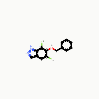 Fc1cc2cn[nH]c2c(F)c1OCc1ccccc1